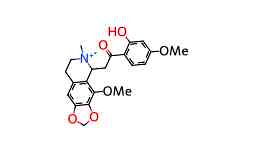 COc1ccc(C(=O)CC2c3c(cc4c(c3OC)OCO4)CC[N+]2(C)C)c(O)c1